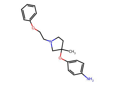 CC1(Oc2ccc(N)cc2)CCN(CCOc2ccccc2)C1